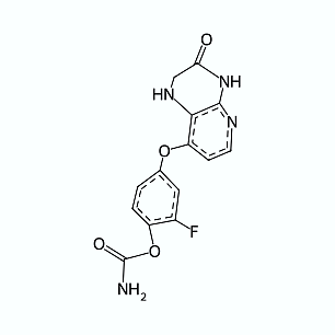 NC(=O)Oc1ccc(Oc2ccnc3c2NCC(=O)N3)cc1F